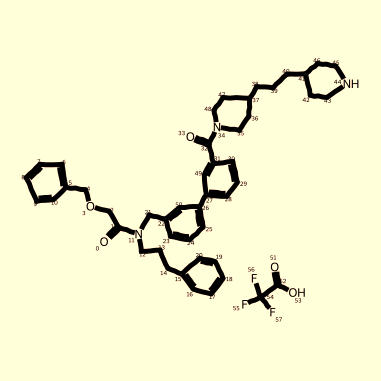 O=C(COCc1ccccc1)N(CCCc1ccccc1)Cc1cccc(-c2cccc(C(=O)N3CCC(CCCC4CCNCC4)CC3)c2)c1.O=C(O)C(F)(F)F